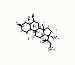 CC(=O)OCC(=O)[C@@]1(OC(C)=O)[C@@H](C)C[C@H]2[C@@H]3C[C@H](F)[C@@H]4CC(=O)CC[C@]4(C)[C@@]3(F)[C@@H](O)C[C@@]21C